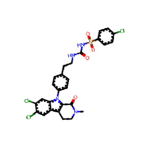 CN1CCc2c(n(-c3ccc(CCNC(=O)NS(=O)(=O)c4ccc(Cl)cc4)cc3)c3cc(Cl)c(Cl)cc23)C1=O